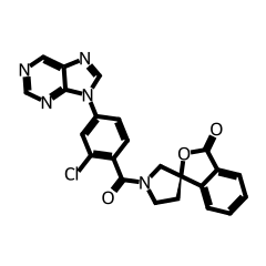 O=C1O[C@]2(CCN(C(=O)c3ccc(-n4cnc5cncnc54)cc3Cl)C2)c2ccccc21